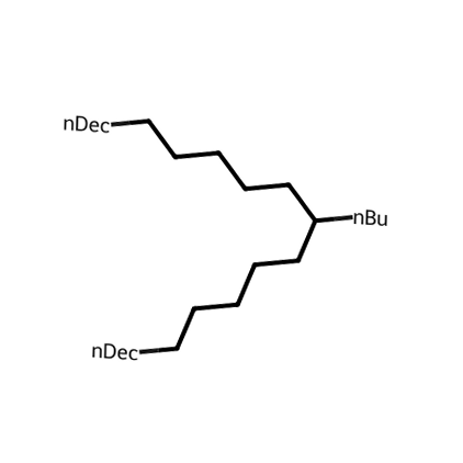 [CH2]CCCC(CCCCCCCCCCCCCCC)CCCCCCCCCCCCCCC